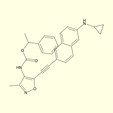 Cc1noc(C#Cc2ccc3cc(NC4CC4)ccc3c2)c1NC(=O)OC(C)c1ccccc1